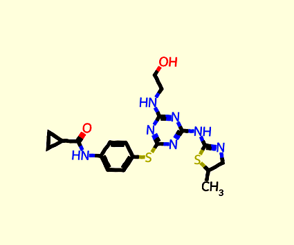 CC1CN=C(Nc2nc(NCCO)nc(Sc3ccc(NC(=O)C4CC4)cc3)n2)S1